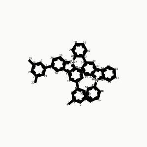 Cc1cc(C)cc(-c2ccc3c(c2)c2cc(-c4cc(C)cc(C)c4)ccc2n3-c2ccccc2-c2ccc3c(c2)c2ccccc2n3-c2ccccc2)c1